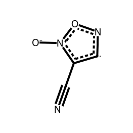 N#Cc1[c]no[n+]1[O-]